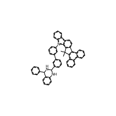 CC1(C)c2c(c3ccccc3c3ccccc23)-c2ccc3c4ccccc4n(-c4cccc(-c5cccc(C6Nc7ccccc7C(c7ccccc7)N6)c5)c4)c3c21